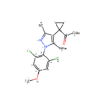 CNc1c(C2(C(=O)OC)CC2)c(C#N)nn1-c1c(Cl)cc(OC(F)(F)F)cc1Cl